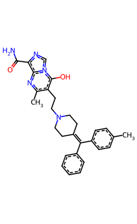 Cc1ccc(C(=C2CCN(CCc3c(C)nc4c(C(N)=O)ncn4c3O)CC2)c2ccccc2)cc1